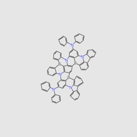 c1ccc(N(c2ccccc2)c2cc3c4c(c2)-n2c5ccccc5c5cccc(c52)B4c2cc4c5c6c2N3c2ccccc2B6c2ccccc2N5c2cc(N(c3ccccc3)c3ccccc3)cc3c2B4c2cccc4c5ccccc5n-3c24)cc1